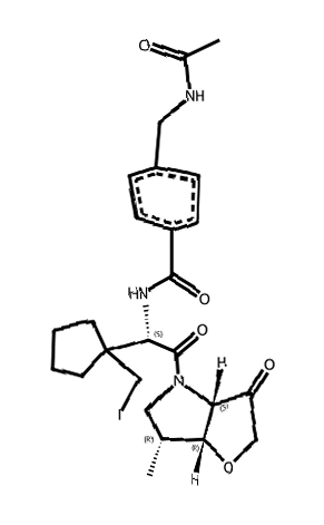 CC(=O)NCc1ccc(C(=O)N[C@H](C(=O)N2C[C@@H](C)[C@H]3OCC(=O)[C@H]32)C2(CI)CCCC2)cc1